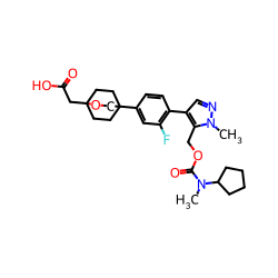 CN(C(=O)OCc1c(-c2ccc(C34CCC(CC(=O)O)(CC3)OC4)cc2F)cnn1C)C1CCCC1